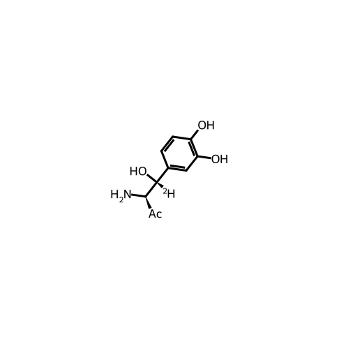 [2H][C@@](O)(c1ccc(O)c(O)c1)[C@H](N)C(C)=O